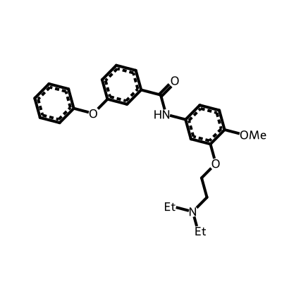 CCN(CC)CCOc1cc(NC(=O)c2cccc(Oc3ccccc3)c2)ccc1OC